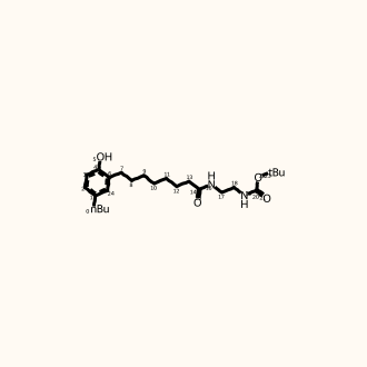 CCCCc1ccc(O)c(CCCCCCCC(=O)NCCNC(=O)OC(C)(C)C)c1